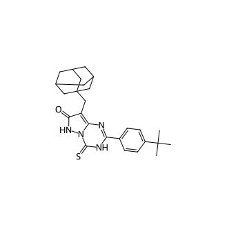 CC(C)(C)c1ccc(-c2nc3c(CC45CC6CC(CC(C6)C4)C5)c(=O)[nH]n3c(=S)[nH]2)cc1